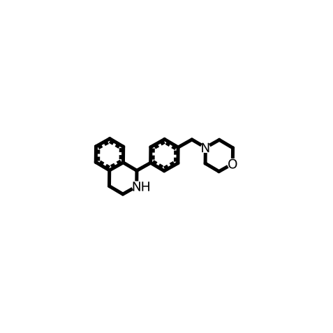 c1ccc2c(c1)CCNC2c1ccc(CN2CCOCC2)cc1